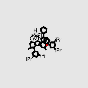 Cc1ccc2c(c1-c1cc(C(C)C)cc(C(C)C)c1)C=C(c1ccccc1)[CH]2[Zr]([Cl])([Cl])([CH]1C(c2ccccc2)=Cc2c1ccc(C)c2-c1cc(C(C)C)cc(C(C)C)c1)[SiH](C)C